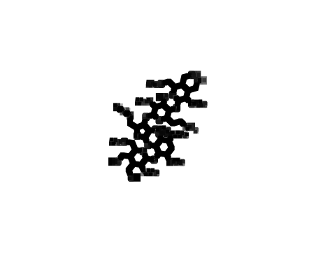 CNC1CC(NC)C(OC2OC(COC)C(CO)C(CO)C2NC)C(OC2OC(CN=[N+]=[N-])C(OC3OC(CCN)C(OC4OC(COC)C(CO)C(CO)C4OC)C(O)C3NC)C2OC)C1OC